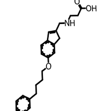 O=C(O)CCNCC1=Cc2ccc(OCCCCc3ccccc3)cc2C1